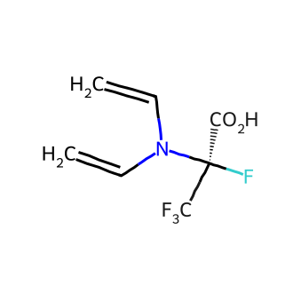 C=CN(C=C)[C@](F)(C(=O)O)C(F)(F)F